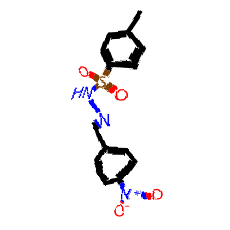 Cc1ccc(S(=O)(=O)NN=Cc2ccc([N+](=O)[O-])cc2)cc1